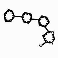 Clc1cc(-c2cccc(-c3ccc(-c4ccccc4)cc3)c2)ncn1